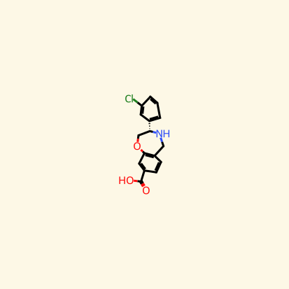 O=C(O)c1ccc2c(c1)OC[C@H](c1cccc(Cl)c1)NC2